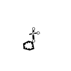 CS([O])(=O)=O.c1ccccc1